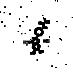 CNC(=O)C(C)N1CCCN(c2nc(N)c3cc(OC)c(OC)cc3n2)CC1.Cl